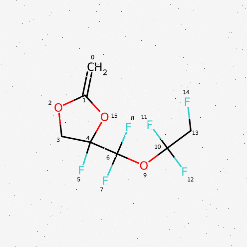 C=C1OCC(F)(C(F)(F)OC(F)(F)CF)O1